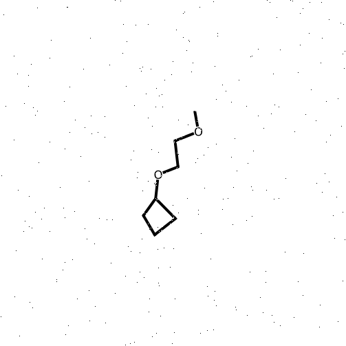 COCCOC1CCC1